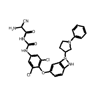 N#CC(N)C(=O)NC(=O)Nc1cc(Cl)c(Oc2ccc3[nH]n(C4CCN(c5ccccc5)C4)c3c2)c(Cl)c1